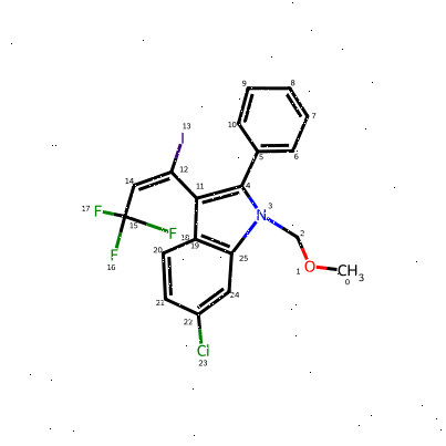 COCn1c(-c2ccccc2)c(/C(I)=C\C(F)(F)F)c2ccc(Cl)cc21